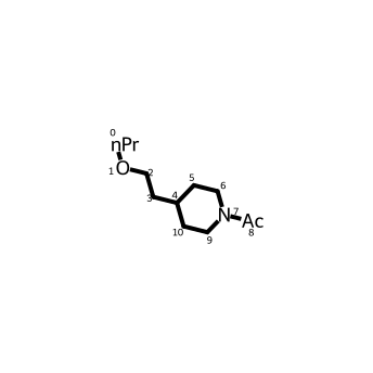 CCCOCCC1CCN(C(C)=O)CC1